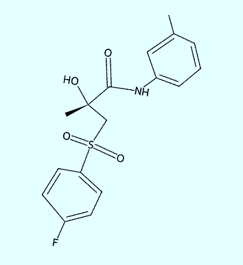 Cc1cccc(NC(=O)[C@@](C)(O)CS(=O)(=O)c2ccc(F)cc2)c1